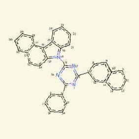 c1ccc(-c2nc(-c3ccc4ccccc4c3)nc(-n3c4ccccc4c4c5ccccc5ccc43)n2)cc1